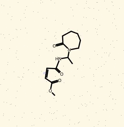 COC(=O)/C=C\C(=O)NC(C)N1CCCCCC1=O